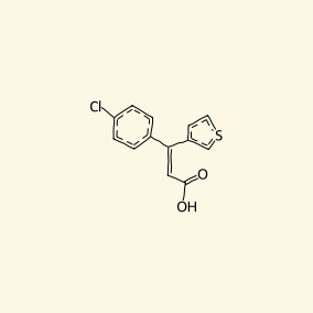 O=C(O)C=C(c1ccc(Cl)cc1)c1ccsc1